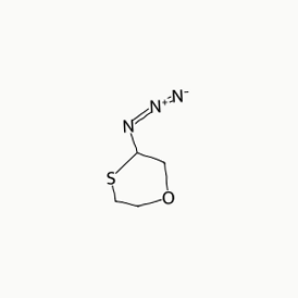 [N-]=[N+]=NC1COCCS1